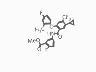 COC(=O)c1cc(NC(=O)c2cc(C3CC3)c(C(F)(F)F)cc2Oc2ccc(F)cc2C)ccc1F